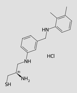 Cc1cccc(NCc2cccc(NC[C@@H](N)CS)c2)c1C.Cl